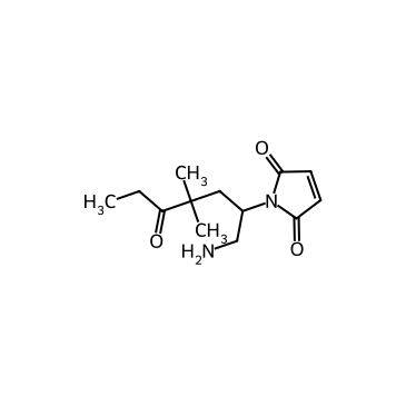 CCC(=O)C(C)(C)CC(CN)N1C(=O)C=CC1=O